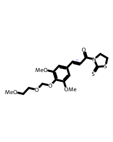 COCCOCOc1c(OC)cc(/C=C/C(=O)N2CCSC2=S)cc1OC